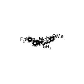 COc1ccc(CNCCC(C)NC(=O)c2ccc3c(Oc4ccc(C(F)(F)F)cc4)cccc3c2)c(OC)c1